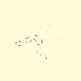 C[Si](C)(C)CCOCN(COCC[Si](C)(C)C)c1cc(C2CCC(O)(CS(C)(=O)=O)CC2)nc2c(-c3ccc(-c4ccccc4)nc3)cnn12